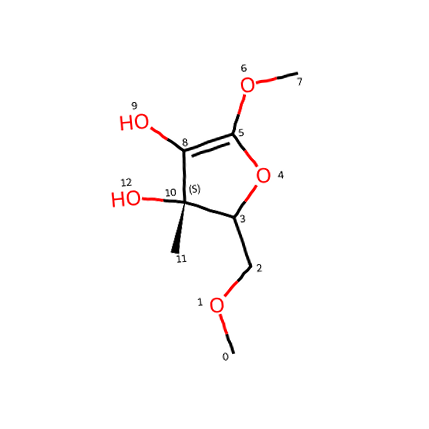 COCC1OC(OC)=C(O)[C@@]1(C)O